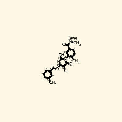 CON(C)C(=O)c1ccc(C)c(-n2c(C)nc(OCc3cccc(C)c3)c(Cl)c2=O)c1